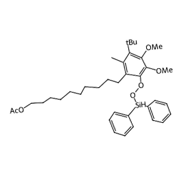 COc1c(OO[SiH](c2ccccc2)c2ccccc2)c(CCCCCCCCCCOC(C)=O)c(C)c(C(C)(C)C)c1OC